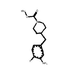 CC(C)(C)OC(=O)N1CCC(Cc2ccc(F)c(N)c2)CC1